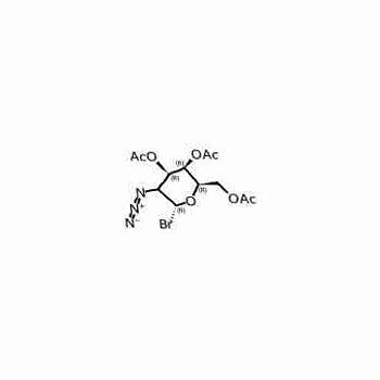 CC(=O)OC[C@H]1O[C@H](Br)C(N=[N+]=[N-])[C@@H](OC(C)=O)[C@H]1OC(C)=O